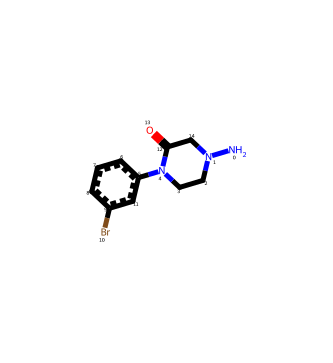 NN1CCN(c2cccc(Br)c2)C(=O)C1